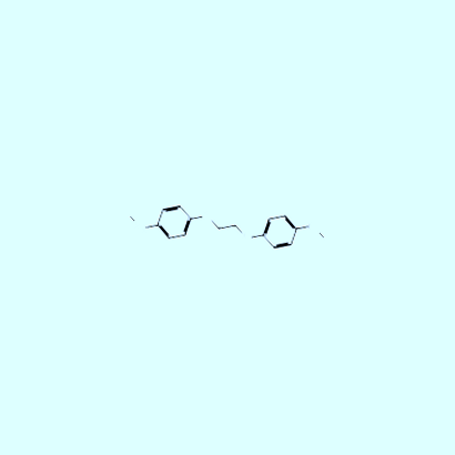 COc1ccc(SCCSc2ccc(OC)cc2)cc1